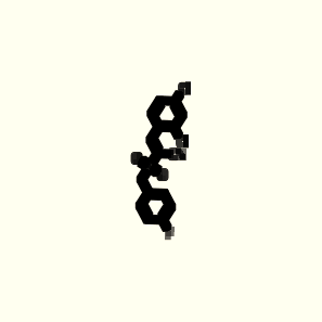 N#CC(=Cc1ccc(Cl)cc1Cl)S(=O)(=O)Cc1ccc(F)cc1